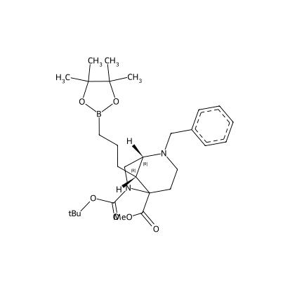 COC(=O)C12CCN(Cc3ccccc3)[C@@H](CN1C(=O)OC(C)(C)C)[C@H]2CCCB1OC(C)(C)C(C)(C)O1